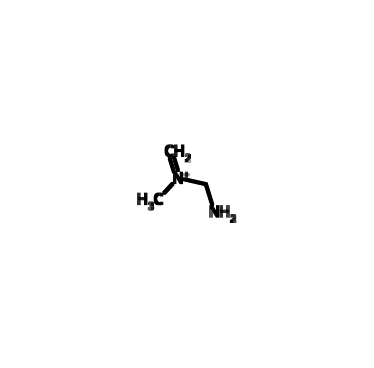 C=[N+](C)CN